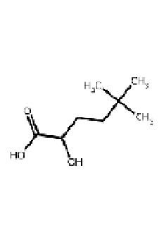 CC(C)(C)CCC(O)C(=O)O